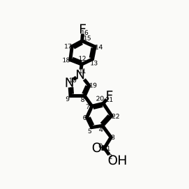 O=C(O)Cc1ccc(-c2cnn(-c3ccc(F)cc3)c2)c(F)c1